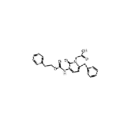 O=C(O)Cn1c(Cc2ccccc2)ccc(NC(=O)OCCc2ccccc2)c1=O